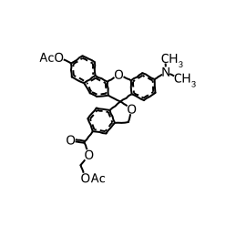 CC(=O)OCOC(=O)c1ccc2c(c1)COC21c2ccc(N(C)C)cc2Oc2c1ccc1cc(OC(C)=O)ccc21